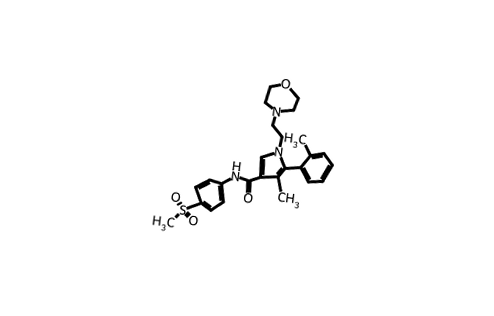 Cc1ccccc1-c1c(C)c(C(=O)Nc2ccc(S(C)(=O)=O)cc2)cn1CCN1CCOCC1